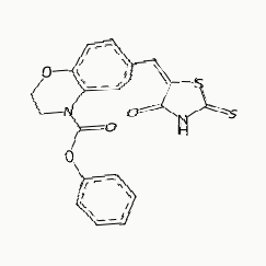 O=C1NC(=S)SC1=Cc1ccc2c(c1)N(C(=O)Oc1ccccc1)CCO2